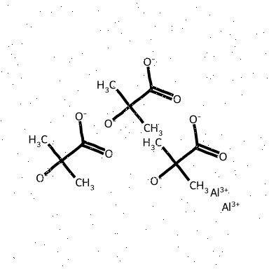 CC(C)([O-])C(=O)[O-].CC(C)([O-])C(=O)[O-].CC(C)([O-])C(=O)[O-].[Al+3].[Al+3]